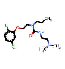 CCCN(CCOc1cc(Cl)ccc1Cl)C(=O)NCCN(C)C